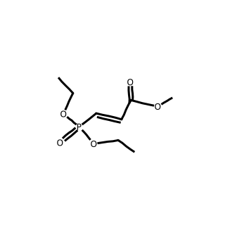 CCOP(=O)(C=CC(=O)OC)OCC